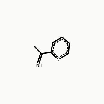 CC(=N)c1ccccn1